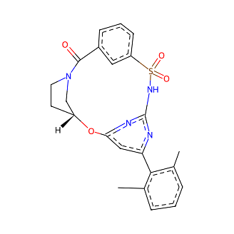 Cc1cccc(C)c1-c1cc2nc(n1)NS(=O)(=O)c1cccc(c1)C(=O)N1CC[C@H](C1)O2